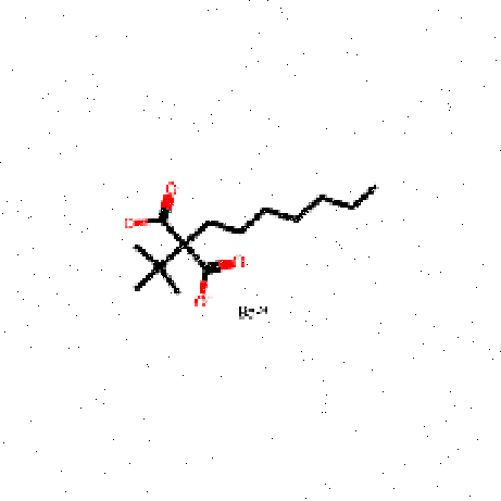 CCCCCCCC(C(=O)[O-])(C(=O)[O-])C(C)(C)C.[Ba+2]